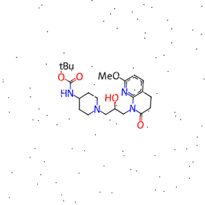 COc1ccc2c(n1)N(C[C@H](O)CN1CCC(NC(=O)OC(C)(C)C)CC1)C(=O)CC2